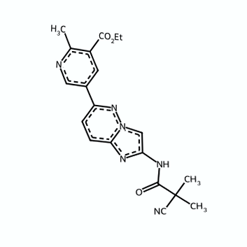 CCOC(=O)c1cc(-c2ccc3nc(NC(=O)C(C)(C)C#N)cn3n2)cnc1C